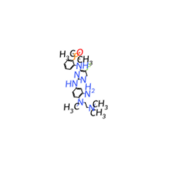 CN(C)CCN(C)c1ccc(Nc2ncc(F)c(Nc3ccccc3P(C)(C)=O)n2)cc1N